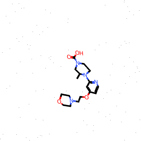 CC1CN(C(=O)O)CCN1c1cc(OCCN2CCOCC2)ccn1